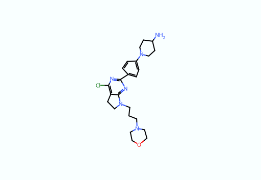 NC1CCN(c2ccc(-c3nc(Cl)c4c(n3)N(CCCN3CCOCC3)CC4)cc2)CC1